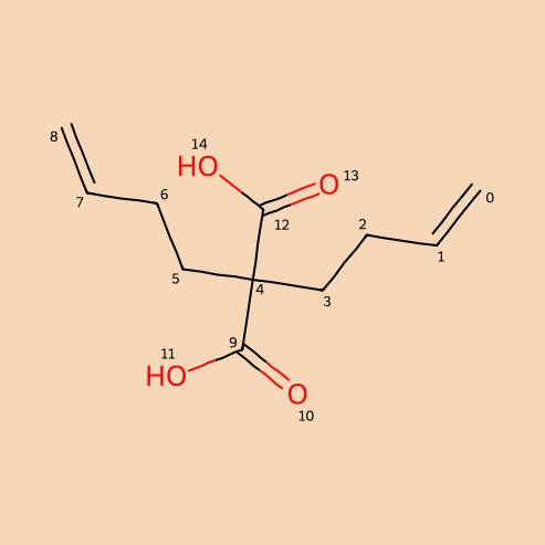 C=CCCC(CCC=C)(C(=O)O)C(=O)O